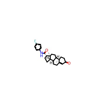 C[C@]12CC[C@H]3[C@@H](CCC4=CC(=O)CC[C@@]43C)[C@@H]1CC[C@@H]2C(=O)Nc1ccc(F)cc1